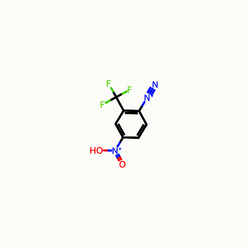 N#[N+]c1ccc([N+](=O)O)cc1C(F)(F)F